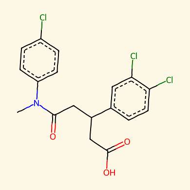 CN(C(=O)CC(CC(=O)O)c1ccc(Cl)c(Cl)c1)c1ccc(Cl)cc1